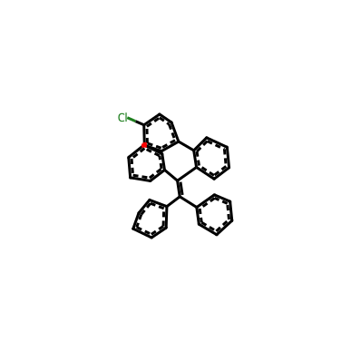 Clc1ccc(-c2ccccc2C(=C(c2ccccc2)c2ccccc2)c2ccccc2)cc1